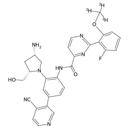 [2H]C([2H])([2H])Oc1cccc(F)c1-c1nccc(C(=O)Nc2ccc(-c3cnccc3C#N)cc2N2C[C@@H](N)C[C@H]2CO)n1